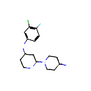 NC1CCN(C2CC(Nc3ccc(F)c(Cl)c3)CC[N]2)CC1